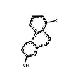 Oc1ccc2c(ccc3c(O)cccc32)c1